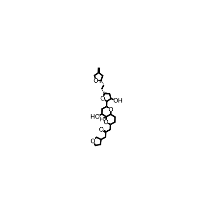 C=C1CO[C@@H](CC[C@@H]2CC(O)C(C3CC(O)[C@H]4OC(CC(=O)CC5CCOC5)CCC4O3)O2)C1